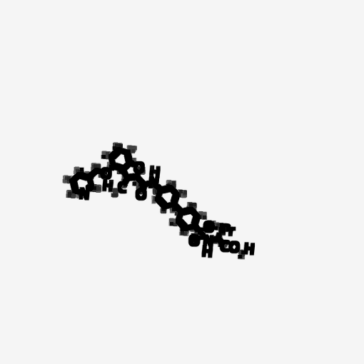 Cc1c(C(=O)Nc2ccc(-c3ccc(S(=O)(=O)NC(C(=O)O)C(C)C)cc3)cc2)oc2cccc(OCc3cccnc3)c12